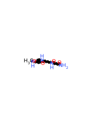 CNOCc1ccc(NC(=O)CCCCCNC(=O)CCCC(N)=O)cc1